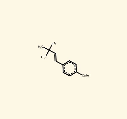 CCCC(C)(C)/C=C/c1ccc(OC)cc1